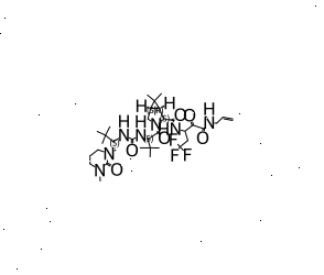 C=CCNC(=O)C(=O)C(CC(F)(F)F)NC(=O)[C@@H]1[C@@H]2[C@H](CN1C(=O)[C@@H](NC(=O)N[C@H](CN1CCCN(C)C1=O)C(C)(C)C)C(C)(C)C)C2(C)C